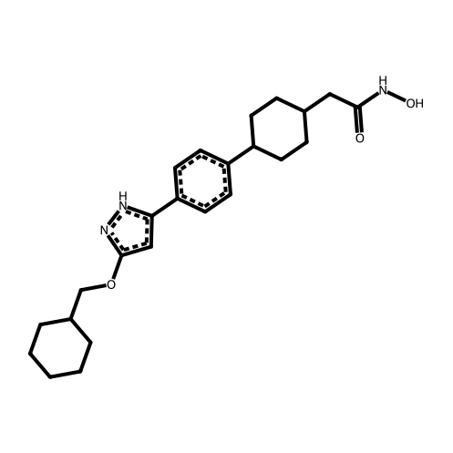 O=C(CC1CCC(c2ccc(-c3cc(OCC4CCCCC4)n[nH]3)cc2)CC1)NO